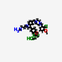 COc1cccc(CN2CCN(Cc3ccc4c(c3)c(-c3ccc(OC(F)(F)F)cc3)cn4CCCN)CC2)c1Cl.Cl